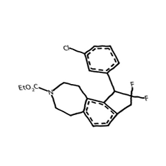 CCOC(=O)N1CCc2ccc3c(c2CC1)C(c1cccc(Cl)c1)C(F)(F)C3